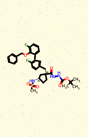 CC(C)(C)OC(=O)NNC(=O)[C@@]1(Cc2ccc(F)c(-c3cccc(F)c3OCc3ccccc3)c2)CC[C@H](NS(C)(=O)=O)C1